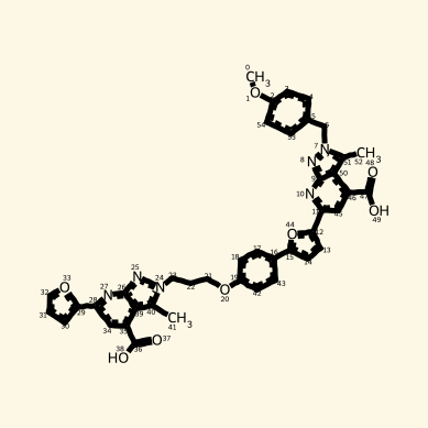 COc1ccc(Cn2nc3nc(-c4ccc(-c5ccc(OCCCn6nc7nc(-c8ccco8)cc(C(=O)O)c7c6C)cc5)o4)cc(C(=O)O)c3c2C)cc1